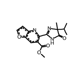 COC(=O)c1cc2occc2nc1C1=NC(C)(C(C)C)C(=O)N1